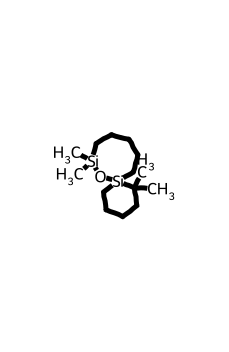 CC1(C)CCCC[Si]12CCCCC[Si](C)(C)O2